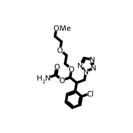 COCCOCCOC(OC(N)=O)C(Cn1ncnn1)c1ccccc1Cl